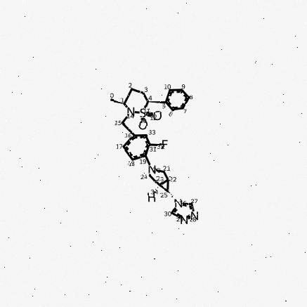 C[C@H]1CC[C@@H](c2ccccc2)S(=O)(=O)N1Cc1ccc(N2CC3[C@H](C2)[C@H]3n2cnnc2)c(F)c1